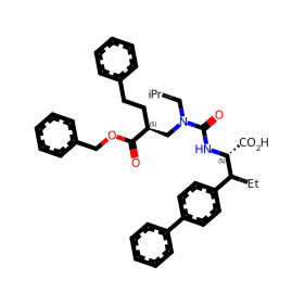 CCC(c1ccc(-c2ccccc2)cc1)[C@H](NC(=O)N(CC(C)C)C[C@H](CCc1ccccc1)C(=O)OCc1ccccc1)C(=O)O